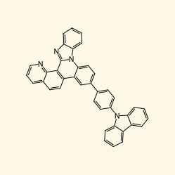 c1cnc2c(c1)ccc1c3cc(-c4ccc(-n5c6ccccc6c6ccccc65)cc4)ccc3n3c4ccccc4nc3c12